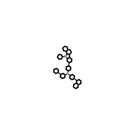 c1ccc(-c2cccc(N(c3ccc(-c4ccc5c6ccc7ccccc7c6n(-c6ccccc6)c5c4)cc3)c3ccc(-c4cccc5ccccc45)cc3)c2)cc1